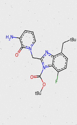 CC(C)(C)Cc1ccc(F)c2c1nc(Cn1cccc(N)c1=O)n2C(=O)OC(C)(C)C